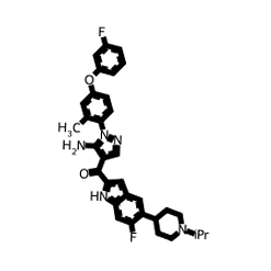 Cc1cc(Oc2cccc(F)c2)ccc1-n1ncc(C(=O)c2cc3cc(C4CCN(C(C)C)CC4)c(F)cc3[nH]2)c1N